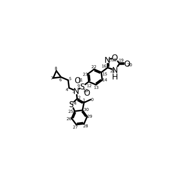 Cc1c(N(CCC2CC2)S(=O)(=O)c2ccc(-c3noc(=O)[nH]3)cc2)sc2ccccc12